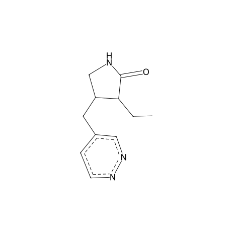 CCC1C(=O)NCC1Cc1ccnnc1